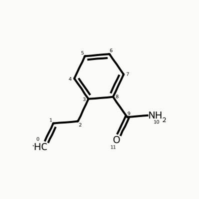 [CH]=CCc1ccccc1C(N)=O